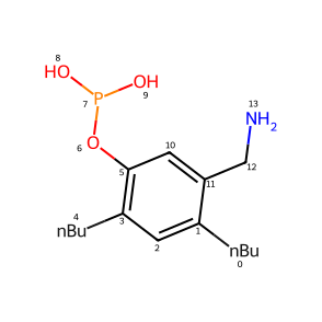 CCCCc1cc(CCCC)c(OP(O)O)cc1CN